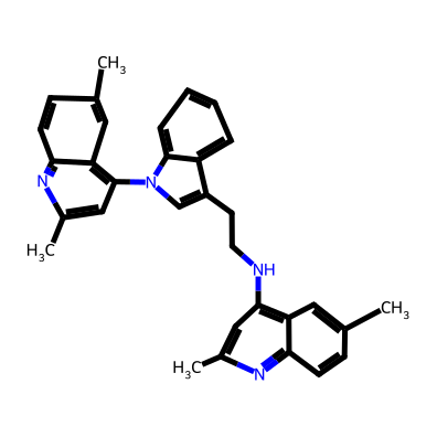 Cc1ccc2nc(C)cc(NCCc3cn(-c4cc(C)nc5ccc(C)cc45)c4ccccc34)c2c1